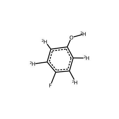 [2H]Oc1c([2H])c([2H])c(F)c([2H])c1[2H]